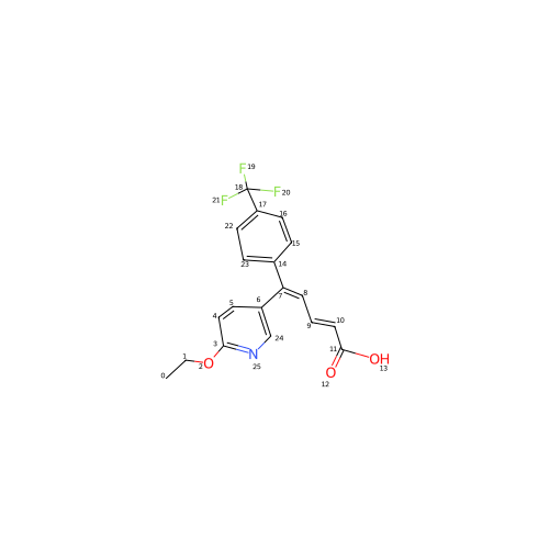 CCOc1ccc(/C(=C\C=C\C(=O)O)c2ccc(C(F)(F)F)cc2)cn1